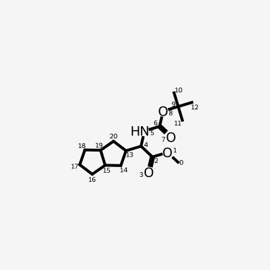 COC(=O)C(NC(=O)OC(C)(C)C)C1CC2CCCC2C1